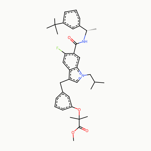 COC(=O)C(C)(C)Oc1cccc(Cc2cn(CC(C)C)c3cc(C(=O)N[C@@H](C)c4cccc(C(C)(C)C)c4)c(F)cc23)c1